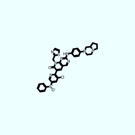 O=c1c(-c2ncc([S+]([O-])c3ccccc3)cc2Cl)cc2cnc(Nc3ccc(N4CCN5CCCC5C4)cc3)nc2n1Cc1nccs1